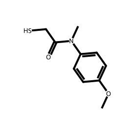 COc1ccc(N(C)C(=O)CS)cc1